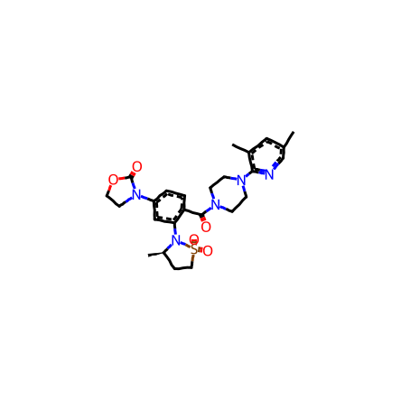 Cc1cnc(N2CCN(C(=O)c3ccc(N4CCOC4=O)cc3N3[C@H](C)CCS3(=O)=O)CC2)c(C)c1